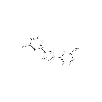 COc1cccc(C2=CNC(c3cccc(Cl)c3)N2)c1